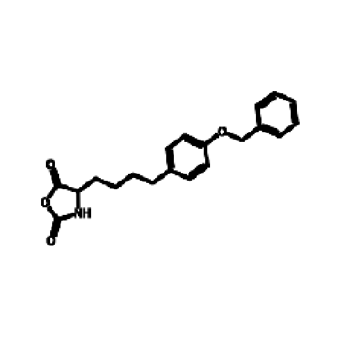 O=C1NC(CCCCc2ccc(OCc3ccccc3)cc2)C(=O)O1